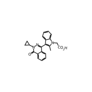 Cc1c(-c2nn(C3CC3)c(=O)c3ccccc23)c2ccccc2n1CC(=O)O